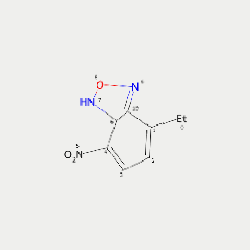 CCC1=CC=C([N+](=O)[O-])C2NON=C12